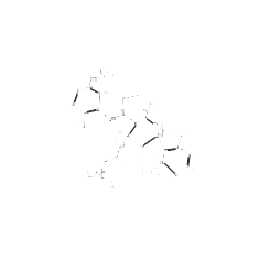 CCc1cccc(CC)c1-c1cc(OCCN(C)C)c2c(n1)CCCC2Nc1cc(OC)ccc1C